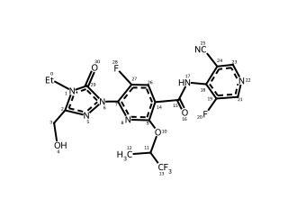 CCn1c(CO)nn(-c2nc(OC(C)C(F)(F)F)c(C(=O)Nc3c(F)cncc3C#N)cc2F)c1=O